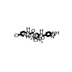 CN(C)C(=O)C(CNC(=O)C(=O)Nc1ccc(Cl)cn1)NC(=O)c1ccc2[nH]cnc2c1